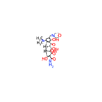 CN(C)c1cc(CN2CCOCC2)c(O)c2c1C[C@H]1C[C@H]3CC(O)=C(C(N)=O)C(=O)[C@@]3(O)C(O)C1C2=O